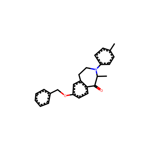 Cc1ccc(N2CCc3cc(OCc4ccccc4)ccc3C(=O)C2C)cc1